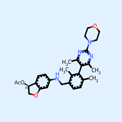 CC(=O)O[C@@H]1COc2cc(NCc3ccc(C)c(-c4c(C)nc(N5CCOCC5)nc4C)c3C)ccc21